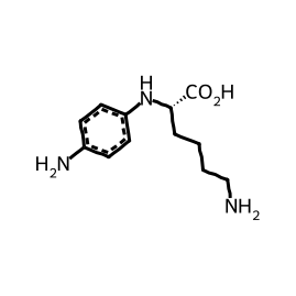 NCCCC[C@H](Nc1ccc(N)cc1)C(=O)O